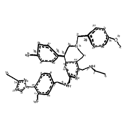 CCNc1nc(Nc2ccc(-n3cnc(C)n3)c(F)c2)nc2c1CN(Cc1ccc(OC)cc1)CC2c1ccc(F)cc1